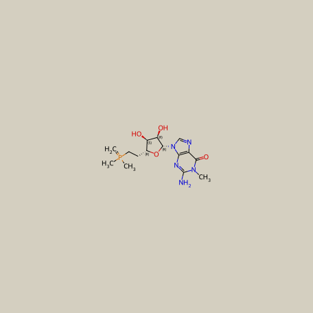 C=P(C)(C)CC[C@H]1O[C@@H](n2cnc3c(=O)n(C)c(N)nc32)[C@H](O)[C@@H]1O